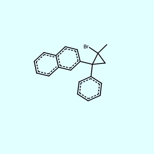 CC1(Br)CC1(c1ccccc1)c1ccc2ccccc2c1